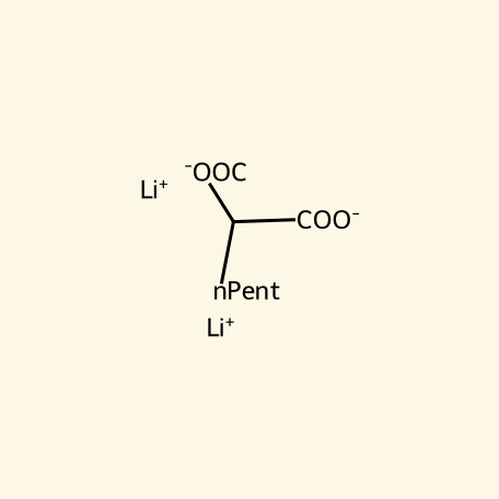 CCCCCC(C(=O)[O-])C(=O)[O-].[Li+].[Li+]